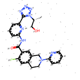 C[C@H](CO)n1nnnc1-c1cccc(NC(=O)c2cc3c(cc2F)CCN(c2ccccn2)C3)n1